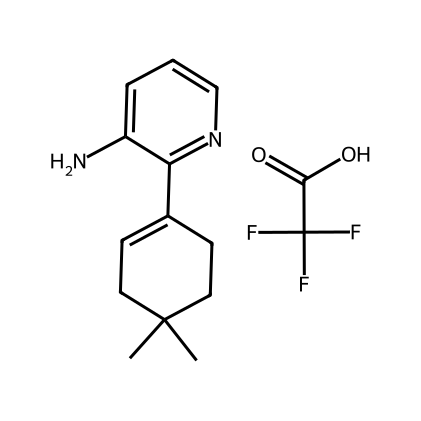 CC1(C)CC=C(c2ncccc2N)CC1.O=C(O)C(F)(F)F